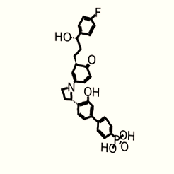 O=C1C=CC(N2CC[C@H]2c2ccc(-c3ccc(P(=O)(O)O)cc3)cc2O)=C[C@H]1CC[C@H](O)c1ccc(F)cc1